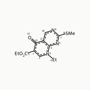 CCOC(=O)c1cn(CC)c2nc(SC)ncc2c1=O